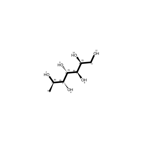 [CH2][C@@H](O)[C@@H](O)[C@H](O)[C@H](O)[C@@H](O)CO